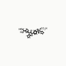 O=C(O)CN(C1CCCC1)S(=O)(=O)c1ccc(C(OC2CCCC2)C(=O)Nc2nc(C(O)CO)ns2)cc1